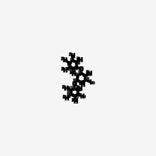 [2H]c1c([2H])c([2H])c(Oc2cc(Oc3c([2H])c([2H])c([2H])c([2H])c3[2H])c([2H])c(I)c2[2H])c([2H])c1[2H]